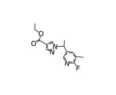 CCOC(=O)c1cnn(C(C)c2cnc(F)c(C)c2)c1